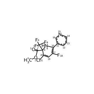 COC(=O)C1(C(F)(F)F)NC(c2cccnc2)=C(F)C=C1Cl